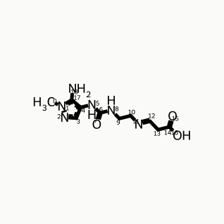 Cn1ncc(NC(=O)NCC/N=C/CC(=O)O)c1N